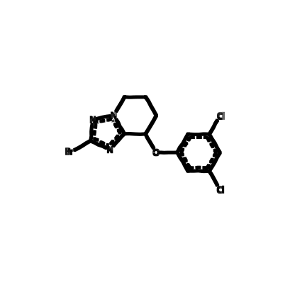 Clc1cc(Cl)cc(OC2CCCn3nc(Br)nc32)c1